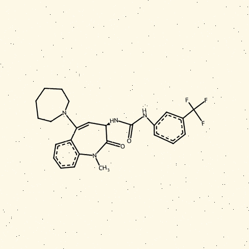 CN1C(=O)[C@H](NC(=O)Nc2cccc(C(F)(F)F)c2)C=C(N2CCCCCC2)c2ccccc21